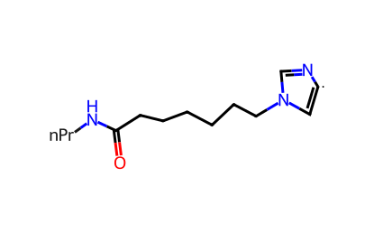 CCCNC(=O)CCCCCCn1c[c]nc1